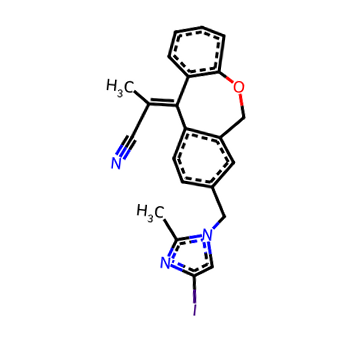 CC(C#N)=C1c2ccc(Cn3cc(I)nc3C)cc2COc2ccccc21